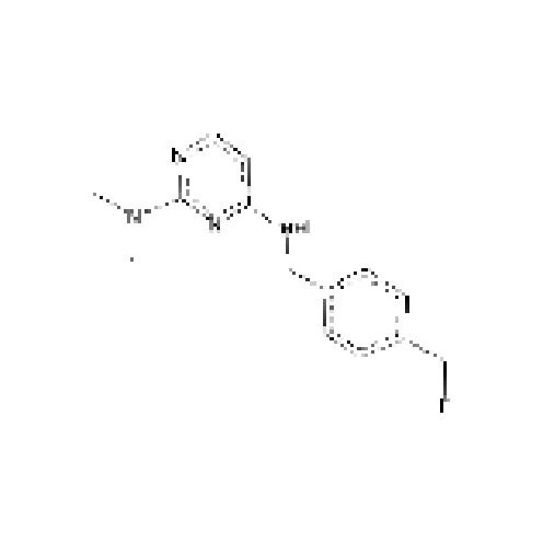 CN(C)c1nccc(NCc2ccc(CF)cc2)n1